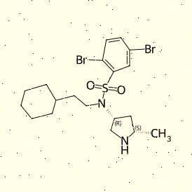 C[C@H]1C[C@@H](N(CCC2CCCCC2)S(=O)(=O)c2cc(Br)ccc2Br)CN1